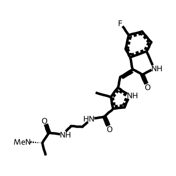 CN[C@@H](C)C(=O)NCCNC(=O)c1c[nH]c(C=C2C(=O)Nc3ccc(F)cc32)c1C